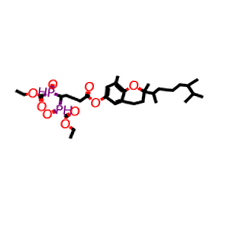 CCOC(=O)[PH](=O)C(CCC(=O)Oc1cc(C)c2c(c1)CCC(C)(C(C)CCCC(C)C(C)C)O2)[PH](=O)C(=O)OCC